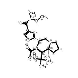 CON(C)C(=O)c1csc([C@@H]2CN3CCC[C@@H]3C(C(C)(C)C)N2C(=O)O)n1